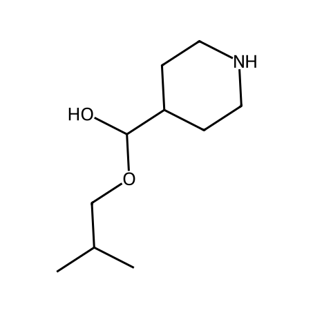 CC(C)COC(O)C1CCNCC1